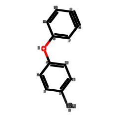 CC(C)(C)c1ccc(Oc2cc#ccc2)cc1